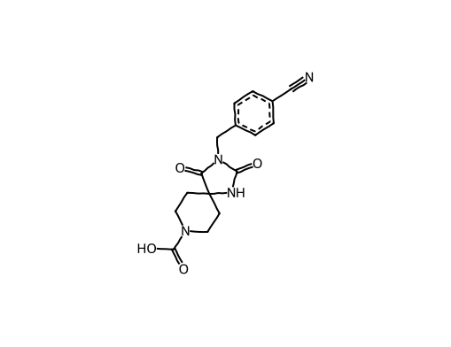 N#Cc1ccc(CN2C(=O)NC3(CCN(C(=O)O)CC3)C2=O)cc1